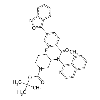 Cc1cccc2ccnc(N(C(=O)c3ccc(-c4onc5ccccc45)cc3F)[C@@H]3CCCN(C(=O)OC(C)(C)C)C3)c12